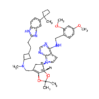 COc1ccc(CNc2ncnc3c2ccn3[C@@H]2CC(CN(C)C3CC(CCc4nc5cc(C6(C)CCC6)ccc5[nH]4)C3)=C3OC(C)(C)O[C@H]32)c(OC)c1